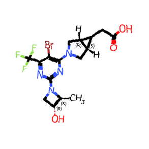 C[C@H]1[C@H](O)CN1c1nc(N2C[C@@H]3C(CC(=O)O)[C@@H]3C2)c(Br)c(C(F)(F)F)n1